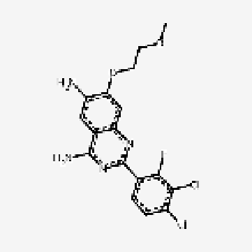 COCCOc1cc2nc(-c3ccc(Cl)c(Cl)c3F)nc(N)c2cc1N